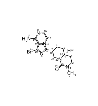 CN1CC[C@@H]2CC[C@@H](c3nc(Br)c4c(N)nccn34)CN2C1=O